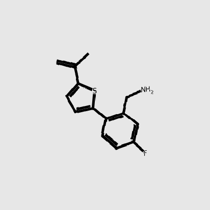 C=C(C)c1ccc(-c2ccc(F)cc2CN)s1